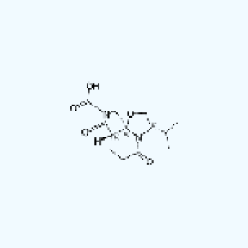 CC(C)[C@H]1CO[C@]23CCN(C(=O)O)C(=O)[C@H]2CCC(=O)N13